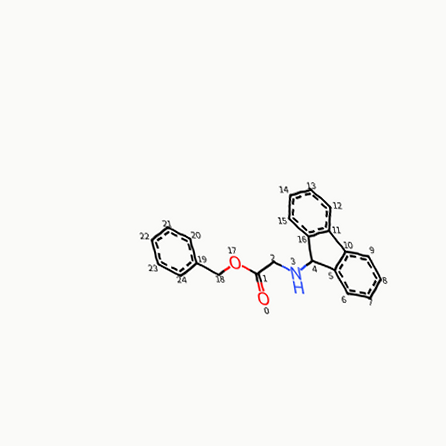 O=C(CNC1c2ccccc2-c2ccccc21)OCc1ccccc1